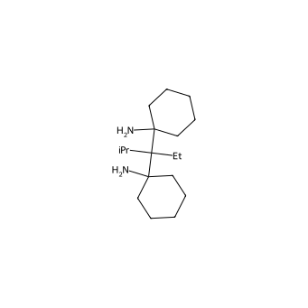 CCC(C(C)C)(C1(N)CCCCC1)C1(N)CCCCC1